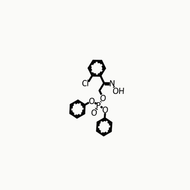 O=P(OCC(=NO)c1ccccc1Cl)(Oc1ccccc1)Oc1ccccc1